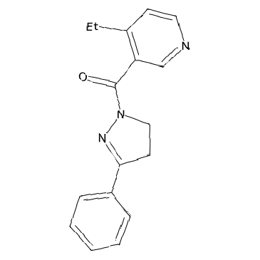 CCc1ccncc1C(=O)N1CCC(c2ccccc2)=N1